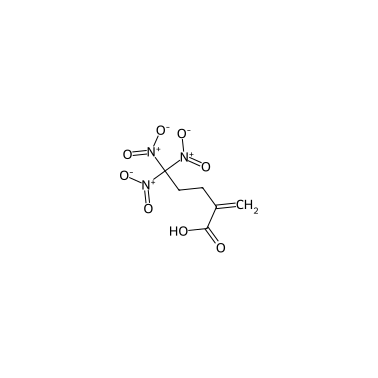 C=C(CCC([N+](=O)[O-])([N+](=O)[O-])[N+](=O)[O-])C(=O)O